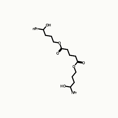 CCCC(O)CCCOC(=O)CCCC(=O)OCCCC(O)CCC